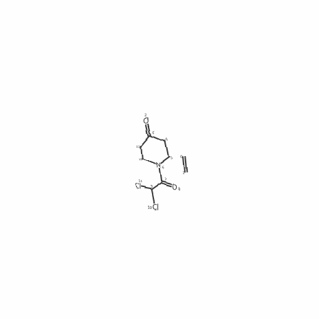 C=C.O=C1CCN(C(=O)C(Cl)Cl)CC1